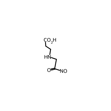 O=NC(=O)CNCCC(=O)O